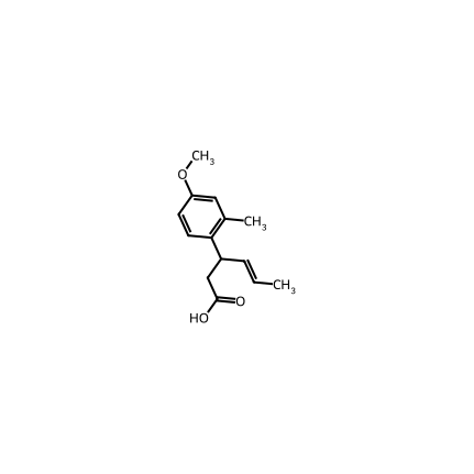 CC=CC(CC(=O)O)c1ccc(OC)cc1C